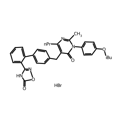 Br.CCCc1nc(C)n(-c2ccc(OC(C)CC)cc2)c(=O)c1Cc1ccc(-c2ccccc2-c2noc(=O)[nH]2)cc1